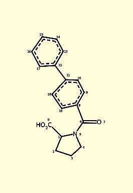 O=C(O)C1CCCN1C(=O)c1ccc(-c2ccccc2)cc1